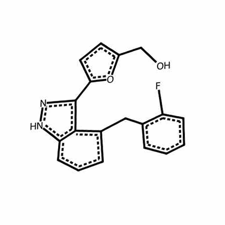 OCc1ccc(-c2n[nH]c3cccc(Cc4ccccc4F)c23)o1